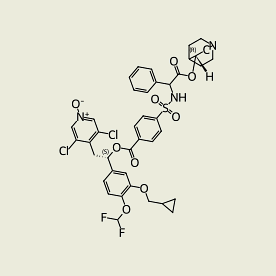 O=C(O[C@@H](Cc1c(Cl)c[n+]([O-])cc1Cl)c1ccc(OC(F)F)c(OCC2CC2)c1)c1ccc(S(=O)(=O)NC(C(=O)O[C@H]2CN3CCC2CC3)c2ccccc2)cc1